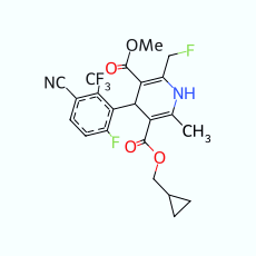 COC(=O)C1=C(CF)NC(C)=C(C(=O)OCC2CC2)C1c1c(F)ccc(C#N)c1C(F)(F)F